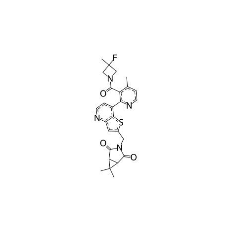 Cc1ccnc(-c2ccnc3cc(CN4C(=O)C5C(C4=O)C5(C)C)sc23)c1C(=O)N1CC(C)(F)C1